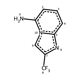 Nc1cccc2nc(C(F)(F)F)cn12